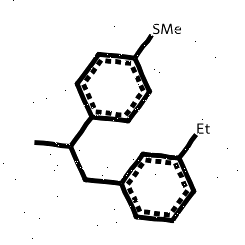 CCc1cccc(CC(C)c2ccc(SC)cc2)c1